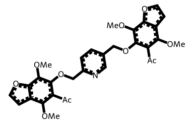 COc1c(C(C)=O)c(OCc2ccc(COc3c(C(C)=O)c(OC)c4ccoc4c3OC)nc2)c(OC)c2occc12